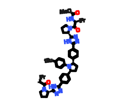 COC(=O)N[C@H](C(=O)N1CCC[C@H]1c1nnc(-c2ccc([C@@H]3CC[C@@H](c4ccc(-c5nnc([C@@H]6CCCN6C(=O)[CH]C(C)C)[nH]5)cc4)N3c3ccc(C(C)(C)C)cc3)cc2)[nH]1)C(C)C